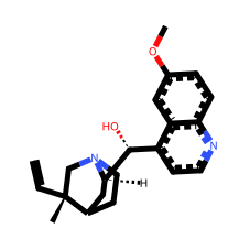 C=C[C@]1(C)CN2CCC1C[C@@H]2[C@H](O)c1ccnc2ccc(OC)cc12